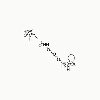 C[C@@H]1NC(=O)N[C@@H]1CCCCCC(=O)NCCOCCOCCOCCN1CC(C2CCCCCCC2)(C(C)(C)C)NN1